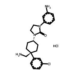 Cl.NC[C@]1(c2cccc(Cl)c2)CC[C@@H](N2CCN(c3cccc(N)c3)C2=O)CC1